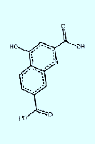 O=C(O)c1ccc2c(O)cc(C(=O)O)nc2c1